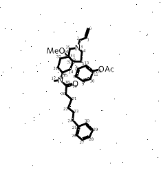 C=CCN1CC[C@@]2(c3cccc(OC(C)=O)c3)C[C@@H](N(C)C(=O)CCCCCc3ccccc3)CC[C@]2(OC)C1